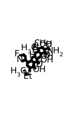 CCN(C)Cc1cc(-c2ccc(F)nc2)c2c(c1O)C(=O)C1=C(O)[C@]3(O)C(=O)C(C(N)=O)=C(O)[C@@H](N(C)C)[C@@H]3C[C@@H]1C2